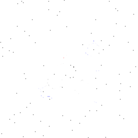 CCc1ncc2c(n1)CN(Cc1cc(C(CC(=O)O)c3ccc4c(nnn4C)c3C)ccc1C)CC2.N